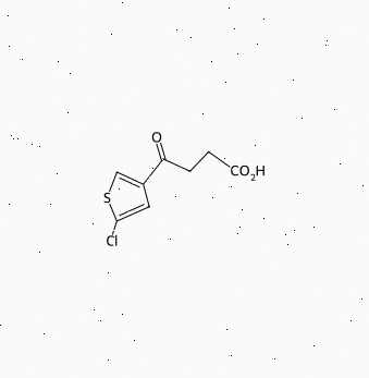 O=C(O)CCC(=O)c1csc(Cl)c1